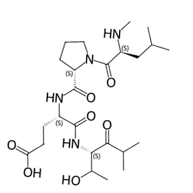 CN[C@@H](CC(C)C)C(=O)N1CCC[C@H]1C(=O)N[C@@H](CCC(=O)O)C(=O)N[C@H](C(=O)C(C)C)C(C)O